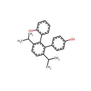 C[C](C)c1ccc([C](C)C)c(-c2ccccc2O)c1-c1ccc(O)cc1